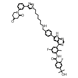 Cc1c(NC(=O)c2ccc(C(C)(C)O)cc2F)cc(F)cc1-c1ncnc2[nH]c(-c3ccc(CNCCCCCCn4cc(-c5cccc(N6CCC(=O)CC6=O)c5)nn4)cc3)cc12